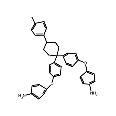 Cc1ccc(C2CCC(c3ccc(Oc4ccc(N)cc4)cc3)(c3ccc(Oc4ccc(N)cc4)cc3)CC2)cc1